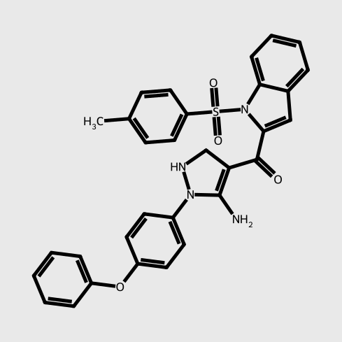 Cc1ccc(S(=O)(=O)n2c(C(=O)C3=C(N)N(c4ccc(Oc5ccccc5)cc4)NC3)cc3ccccc32)cc1